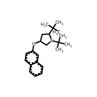 CC(C)(C)C1CC(Oc2ccc3ccccc3c2)CN1C(C)(C)C